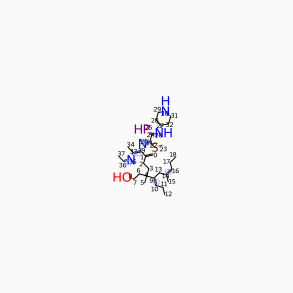 C=C(CCC(C)(CCO)/C(=C/CC)C/C(C)=C\CC)C(/N=C(\SC)C(=P)NC1CCNCC1)=C(C)\N=C/C